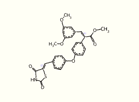 COC(=O)/C(=C/c1cc(OC)cc(OC)c1)c1ccc(Oc2ccc(/C=C3\SC(=O)NC3=O)cc2)cc1